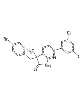 CC1(Cc2ccc(Br)cc2)C(=O)Nc2nc(-c3cc(Cl)cc(Cl)c3)ccc21